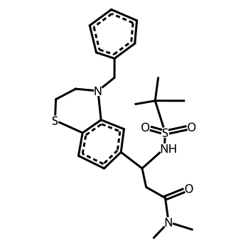 CN(C)C(=O)CC(NS(=O)(=O)C(C)(C)C)c1ccc2c(c1)N(Cc1ccccc1)CCS2